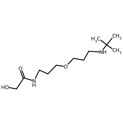 CC(C)(C)NCCCOCCCNC(=O)CO